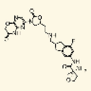 N[C@]1(C(=O)Nc2cc(F)c3c(c2)CC(CNCCC2CN(c4cnc5c(n4)NC(=O)CO5)C(=O)O2)C3)CCOC1